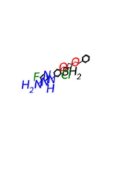 BC1(Oc2ccc(Nc3ncc(F)c(N)n3)cc2Cl)CC(OCc2ccccc2)C1